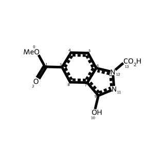 COC(=O)c1ccc2c(c1)c(O)nn2C(=O)O